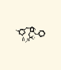 Cc1cc(C)cc(Cn2cnc(Cc3ccccc3)c2CC(N)=O)c1